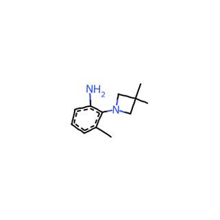 Cc1cccc(N)c1N1CC(C)(C)C1